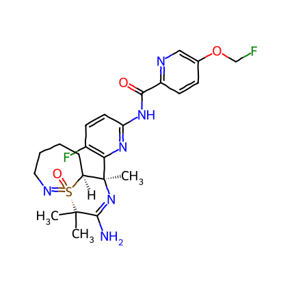 CC1(C)C(N)=N[C@](C)(c2nc(NC(=O)c3ccc(OCF)cn3)ccc2F)[C@@H]2CCCCN=[S@@]21=O